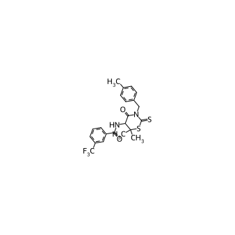 Cc1ccc(CN2C(=O)C(NC(=O)c3cccc(C(F)(F)F)c3)C(C)(C)SC2=S)cc1